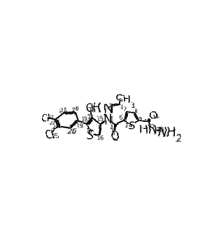 CC=NN(C(=O)c1ccc(C(=O)NN)s1)c1csc(-c2ccc(Cl)c(Cl)c2)c1O